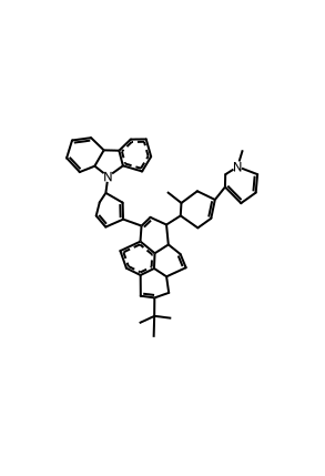 CC1CC(C2=CC=CN(C)C2)=CCC1C1C=C(C2=CC(N3c4ccccc4C4C=CC=CC43)CC=C2)c2ccc3c4c2C1C=CC4CC(C(C)(C)C)=C3